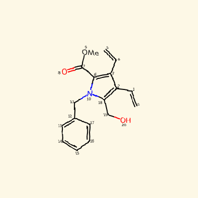 C=Cc1c(C=C)c(C(=O)OC)n(Cc2ccccc2)c1CO